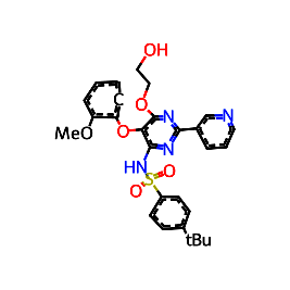 COc1ccccc1Oc1c(NS(=O)(=O)c2ccc(C(C)(C)C)cc2)nc(-c2cccnc2)nc1OCCO